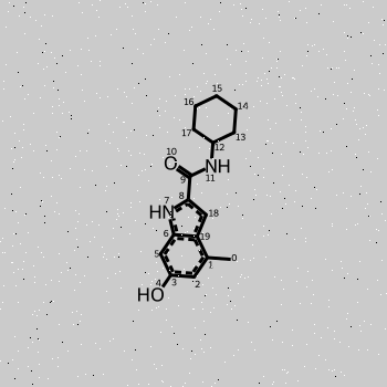 Cc1cc(O)cc2[nH]c(C(=O)NC3CCCCC3)cc12